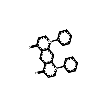 O=c1ccn(-c2ccccc2)c2cc3c(cc12)c(=O)ccn3-c1ccccc1